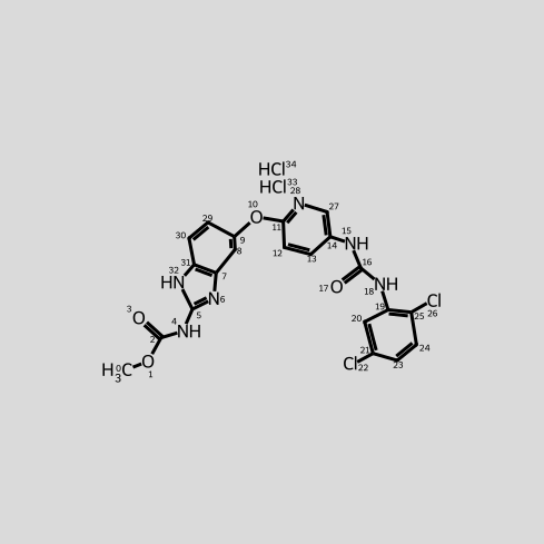 COC(=O)Nc1nc2cc(Oc3ccc(NC(=O)Nc4cc(Cl)ccc4Cl)cn3)ccc2[nH]1.Cl.Cl